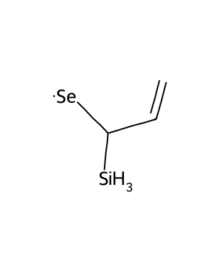 C=CC([SiH3])[Se]